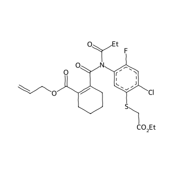 C=CCOC(=O)C1=C(C(=O)N(C(=O)CC)c2cc(SCC(=O)OCC)c(Cl)cc2F)CCCC1